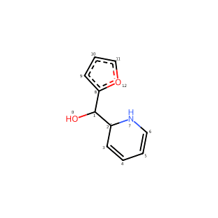 OC([C]1C=CC=CN1)c1ccco1